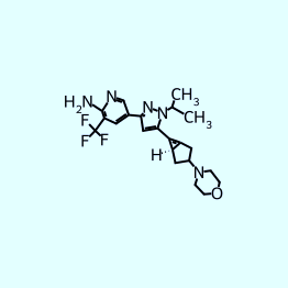 CC(C)n1nc(-c2cnc(N)c(C(F)(F)F)c2)cc1C1=C2CC(N3CCOCC3)C[C@H]21